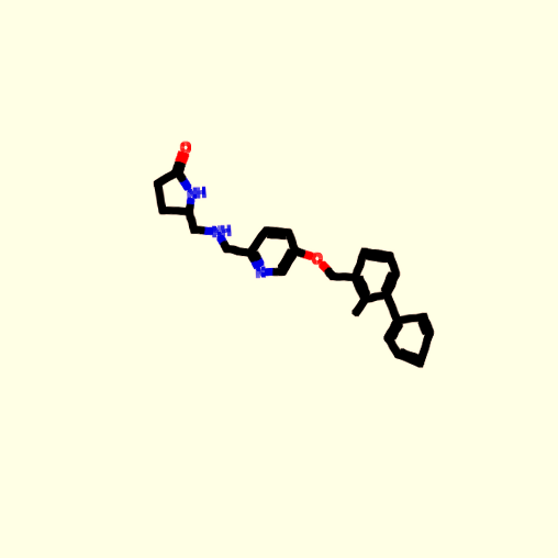 Cc1c(COc2ccc(CNCC3CCC(=O)N3)nc2)cccc1-c1ccccc1